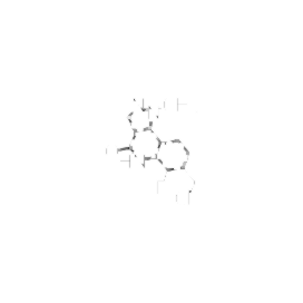 Cn1ncc2c(=O)[nH]c3c(F)c(CCl)ccc3c21